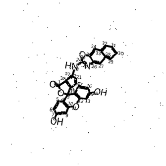 O=C1OC2(c3ccc(O)cc3Oc3cc(O)ccc32)c2ccc(Nc3nc4cc5ccccc5cc4o3)cc21